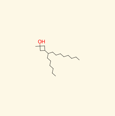 CCCCCCCCC(CCCCCC)C1CC(C)(O)C1